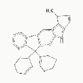 CC1C=Cc2[nH]c3cc4c(cc3c21)-c1ccccc1C4(C1=CCCC=C1)C1=CCCCC1